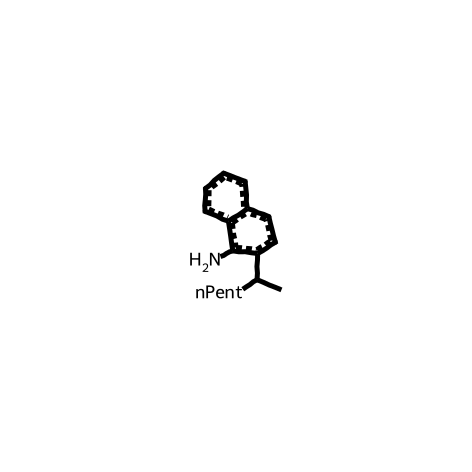 CCCCCC(C)c1ccc2ccccc2c1N